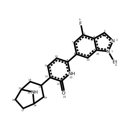 CCn1ncc2c(F)cc(-c3ccc(C4CC5CCC(C4)N5)c(=O)[nH]3)cc21